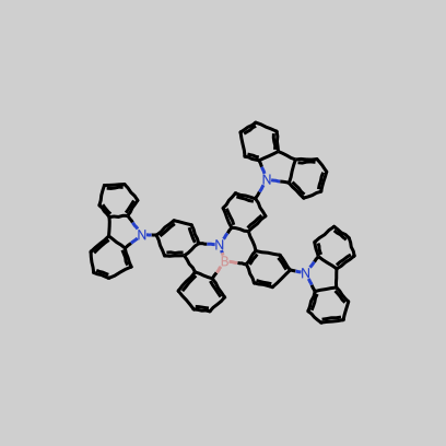 c1ccc2c(c1)B1c3ccc(-n4c5ccccc5c5ccccc54)cc3-c3cc(-n4c5ccccc5c5ccccc54)ccc3N1c1ccc(-n3c4ccccc4c4ccccc43)cc1-2